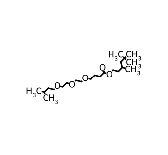 CC(C)CCOCCOCCOCCCC(=O)OCCC(C)CC(C)(C)C